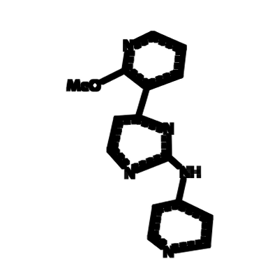 COc1ncccc1-c1ccnc(Nc2ccncc2)n1